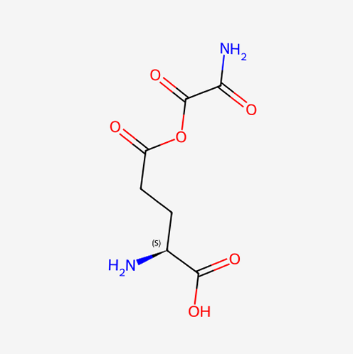 NC(=O)C(=O)OC(=O)CC[C@H](N)C(=O)O